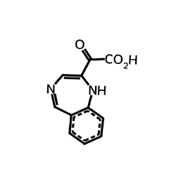 O=C(O)C(=O)C1=CN=Cc2ccccc2N1